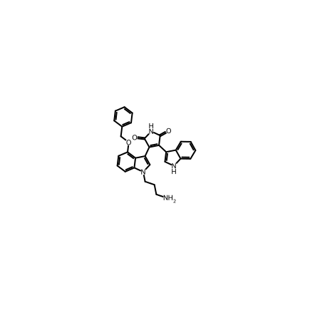 NCCCn1cc(C2=C(c3c[nH]c4ccccc34)C(=O)NC2=O)c2c(OCc3ccccc3)cccc21